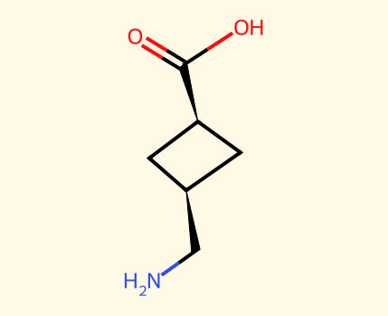 NC[C@H]1C[C@@H](C(=O)O)C1